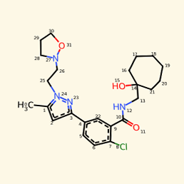 Cc1cc(-c2ccc(Cl)c(C(=O)NCC3(O)CCCCCC3)c2)nn1CCN1CCCO1